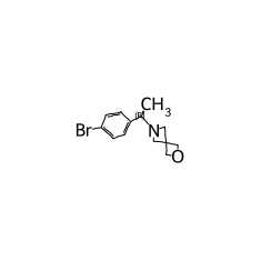 C[C@H](c1ccc(Br)cc1)N1CC2(COC2)C1